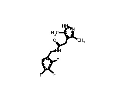 Cc1n[nH]c(C)c1CC(=O)NCc1ccc(F)c(F)c1F